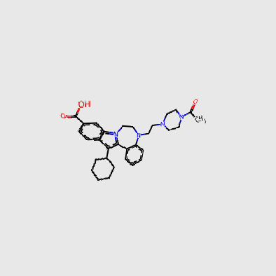 CC(=O)N1CCN(CCN2CCn3c(c(C4CCCCC4)c4ccc(C(=O)O)cc43)-c3ccccc32)CC1